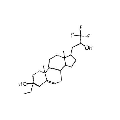 CC[C@]1(O)CCC2(C)C(=CCC3C2CCC2(C)C(CC(O)C(F)(F)F)CCC32)C1